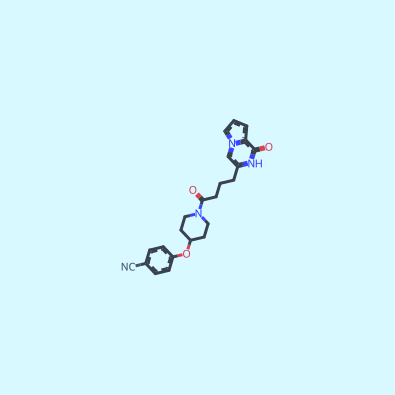 N#Cc1ccc(OC2CCN(C(=O)CCCc3cn4cccc4c(=O)[nH]3)CC2)cc1